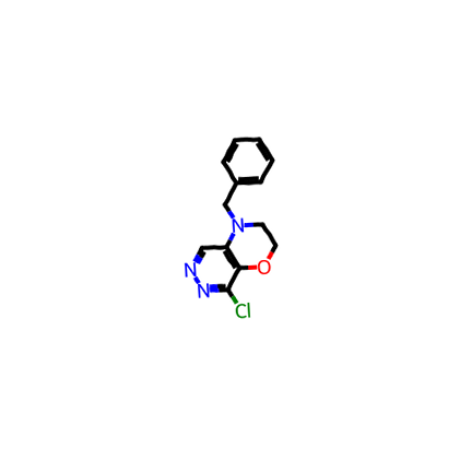 Clc1nncc2c1OCCN2Cc1ccccc1